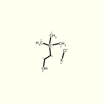 C[N+](C)(C)CCO.[Cl][K]